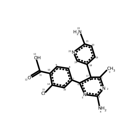 Cc1nc(N)nc(-c2ccc(C(=O)O)c(Cl)c2)c1-c1ccc(N)nc1